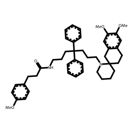 COc1ccc(CCC(=O)NCCCC(CCCN2CCCCC23CCc2cc(OC)c(OC)cc2C3)(c2ccccc2)c2ccccc2)cc1